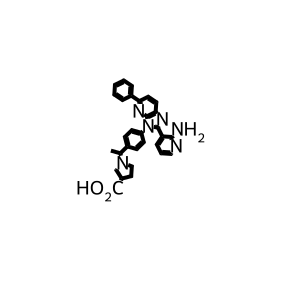 CC(c1ccc(-n2c(-c3cccnc3N)nc3ccc(-c4ccccc4)nc32)cc1)N1CCC(C(=O)O)C1